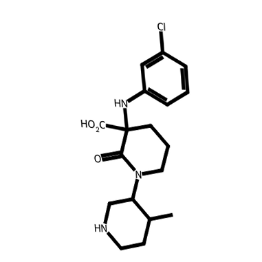 CC1CCNCC1N1CCCC(Nc2cccc(Cl)c2)(C(=O)O)C1=O